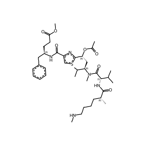 CNCCCC[C@@H](C)C(=O)N[C@H](C(=O)N(C)[C@H](C[C@@H](OC(C)=O)c1nc(C(=O)N[C@H](CCC(=O)OC)Cc2ccccc2)cs1)C(C)C)C(C)C